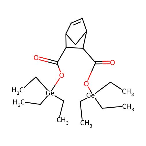 C[CH2][Ge]([CH2]C)([CH2]C)[O]C(=O)C1C2C=CC(C2)C1C(=O)[O][Ge]([CH2]C)([CH2]C)[CH2]C